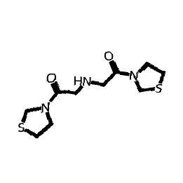 O=C(CNCC(=O)N1CCSC1)N1CCSC1